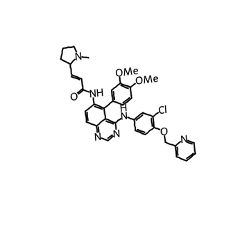 COc1ccc(-c2c(NC(=O)/C=C/C3CCCN3C)ccc3ncnc(Nc4ccc(OCc5ccccn5)c(Cl)c4)c23)cc1OC